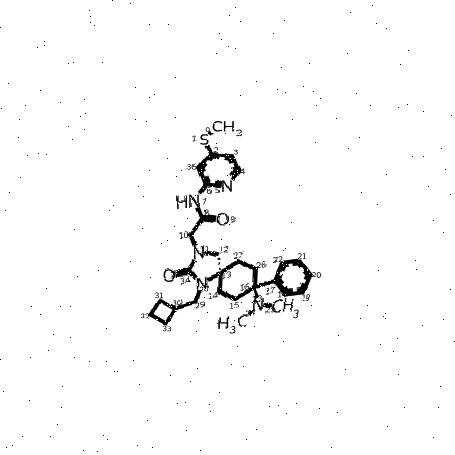 CSc1ccnc(NC(=O)CN2C[C@]3(CC[C@](c4ccccc4)(N(C)C)CC3)N(CC3CCC3)C2=O)c1